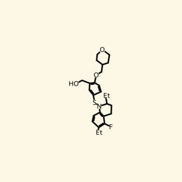 CCc1ccc2c(c1F)CCC(CC)N2Sc1ccc(OCC2CCOCC2)c(CO)c1